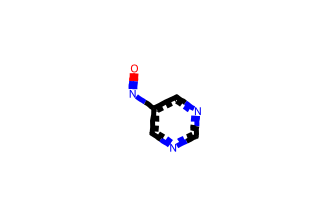 O=Nc1cncnc1